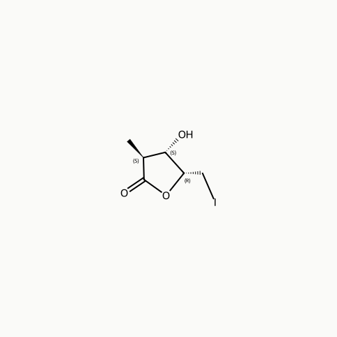 C[C@@H]1C(=O)O[C@@H](CI)[C@H]1O